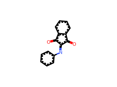 O=c1c(=Nc2ccccc2)c(=O)c2ccccc12